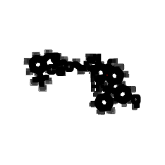 COc1ccc(C(Nc2nc(Cl)c3ncn(CCOCP4(=O)OCc5cccc(C(C)(C)C)c5O4)c3n2)(c2ccccc2)c2ccccc2)cc1